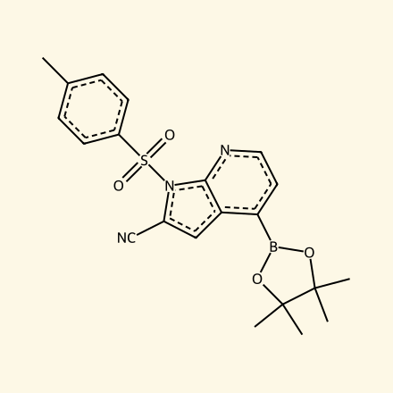 Cc1ccc(S(=O)(=O)n2c(C#N)cc3c(B4OC(C)(C)C(C)(C)O4)ccnc32)cc1